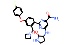 NC(=O)c1cc(NC2CCNC2O)nc(-c2ccc(Oc3ccc(F)cc3)cc2CN2CCC2)n1